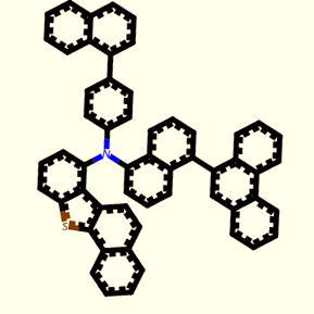 c1ccc2c(-c3ccc(N(c4cccc5c(-c6cc7ccccc7c7ccccc67)cccc45)c4cccc5sc6c7ccccc7ccc6c45)cc3)cccc2c1